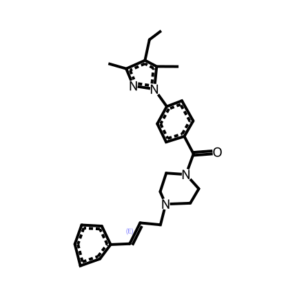 CCc1c(C)nn(-c2ccc(C(=O)N3CCN(C/C=C/c4ccccc4)CC3)cc2)c1C